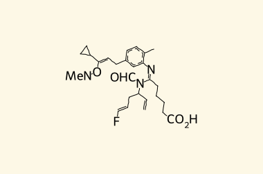 C=CC(C/C=C/F)N(C=O)/C(CCCCC(=O)O)=N\c1cc(C/C=C(\ONC)C2CC2)ccc1C